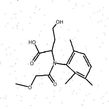 COCC(=O)N(c1c(C)ccc(C)c1C)C(CCO)C(=O)O